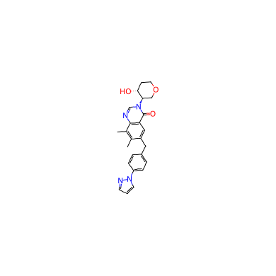 Cc1c(Cc2ccc(-n3cccn3)cc2)cc2c(=O)n([C@@H]3COCC[C@H]3O)cnc2c1C